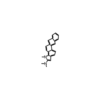 CN(C)c1cc2ccc3c4cc5ccccc5cc4ccc3c2n1C